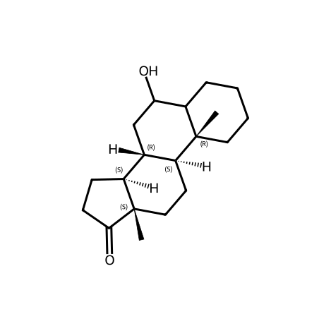 C[C@]12CCCCC1C(O)C[C@@H]1[C@@H]2CC[C@]2(C)C(=O)CC[C@@H]12